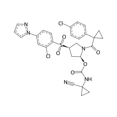 N#CC1(NC(=O)O[C@H]2C[C@@H](S(=O)(=O)c3ccc(-n4cccn4)cc3Cl)CN2C(=O)C2(c3ccc(Cl)cc3)CC2)CC1